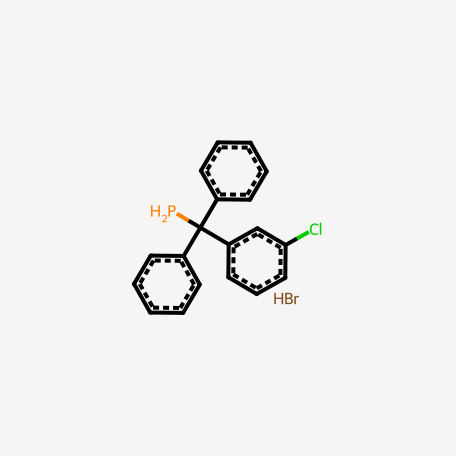 Br.PC(c1ccccc1)(c1ccccc1)c1cccc(Cl)c1